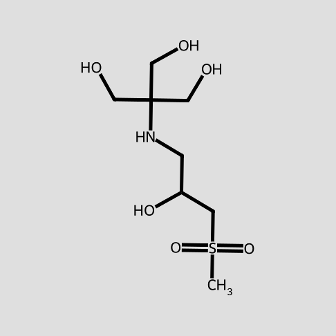 CS(=O)(=O)CC(O)CNC(CO)(CO)CO